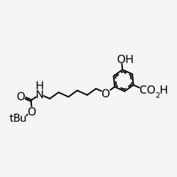 CC(C)(C)OC(=O)NCCCCCCOc1cc(O)cc(C(=O)O)c1